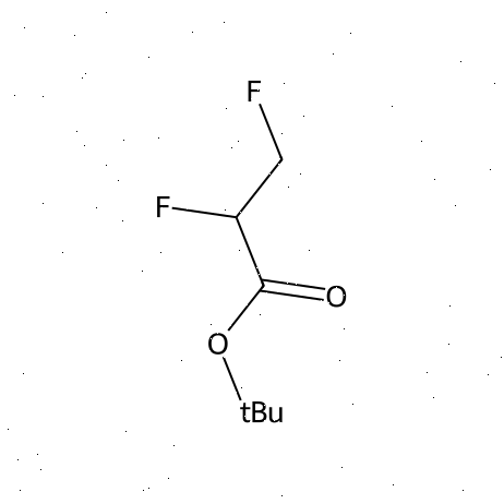 CC(C)(C)OC(=O)C(F)CF